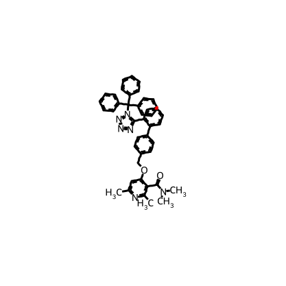 Cc1cc(OCc2ccc(-c3ccccc3-c3nnnn3C(c3ccccc3)(c3ccccc3)c3ccccc3)cc2)c(C(=O)N(C)C)c(C)n1